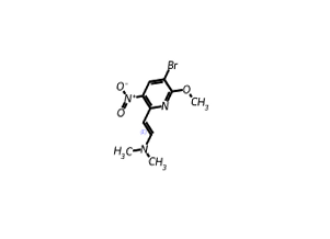 COc1nc(/C=C/N(C)C)c([N+](=O)[O-])cc1Br